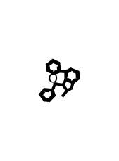 CC1Cc2cccc(-c3ccccc3)c2C1C(=O)c1ccccc1